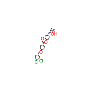 CC(=O)/C(O)=C/c1ccc2c(c1)OC[C@H](c1ccc(OCc3ccc(Cl)c(Cl)c3)cc1)O2